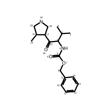 CC(C)C(NC(=O)OCc1ccccc1)C(=O)C1C[N]CC1C